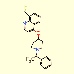 FCc1cccc2c(OC3CCN(C(c4ccccc4)C(F)(F)F)CC3)ccnc12